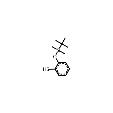 CC(C)(C)[Si](C)(C)Oc1ccccc1S